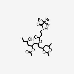 CCC(O)CC(CC(CC1CC(C)OC(C)O1)OC(=O)CCNC(=O)C(Br)(Br)Br)OC(C)=O